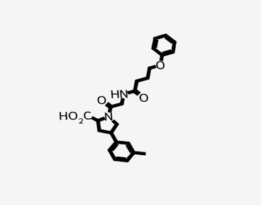 Cc1cccc(C2CC(C(=O)O)N(C(=O)CNC(=O)CCCOc3ccccc3)C2)c1